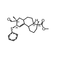 COC(=O)[C@]1(C)CCCC2C3=C[C@@H](Sc4ccccc4)[C@](C)(C=O)CC3CC[C@@H]21